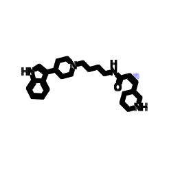 O=C(/C=C\C1CCCNC1)NCCCCN1CCC(c2c[nH]c3ccccc23)CC1